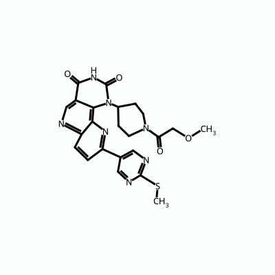 COCC(=O)N1CCC(n2c(=O)[nH]c(=O)c3cnc4ccc(-c5cnc(SC)nc5)nc4c32)CC1